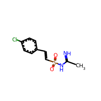 CC(=N)NS(=O)(=O)C=Cc1ccc(Cl)cc1